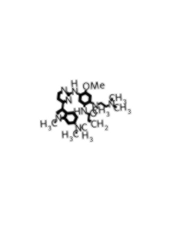 C=CC(=O)Nc1cc(Nc2nccc(-c3cn(C)c4cc(N(C)C)ccc34)n2)c(OC)cc1N(C)CCN(C)C